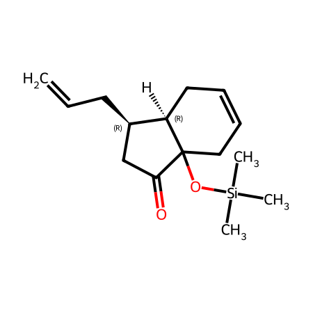 C=CC[C@@H]1CC(=O)C2(O[Si](C)(C)C)CC=CC[C@H]12